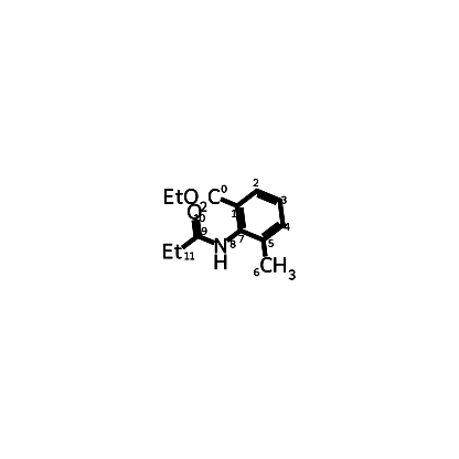 CCOC(=O)c1cccc(C)c1NC(=O)CC